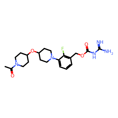 CC(=O)N1CCC(OC2CCN(c3cccc(COC(=O)NC(=N)N)c3F)CC2)CC1